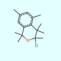 Cc1cc(C)c2c(c1)C(C)(C)OC(C)(Cl)C2(C)C